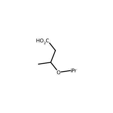 CC(C)OC(C)CC(=O)O